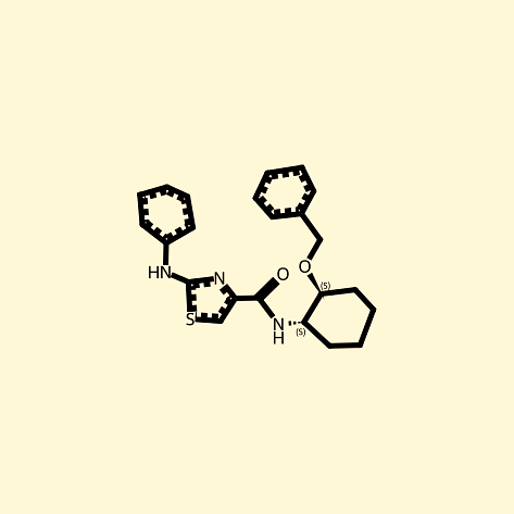 O=C(N[C@H]1CCCC[C@@H]1OCc1ccccc1)c1csc(Nc2ccccc2)n1